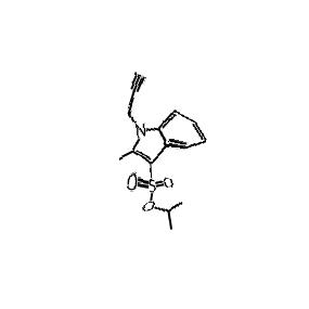 C#CCn1c(C)c(S(=O)(=O)OC(C)C)c2ccccc21